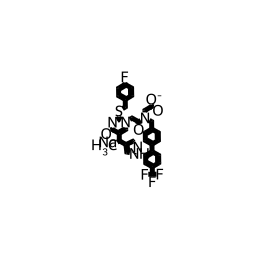 CC(c1cn[nH]c1)c1cn(CC(=O)N(CC(=O)[O-])Cc2ccc(-c3ccc(C(F)(F)F)cc3)cc2)c(SCc2ccc(F)cc2)nc1=O.[Na+]